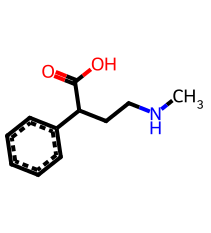 CNCCC(C(=O)O)c1ccccc1